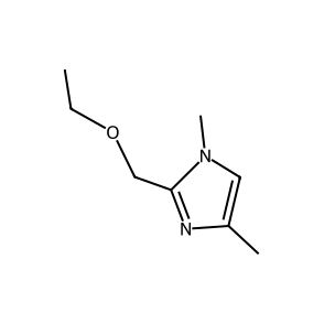 CCOCc1nc(C)cn1C